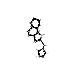 c1ccc2c(c1)ccc1sc(Cn3ccnc3)nc12